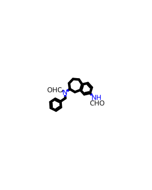 O=CNc1ccc2c(c1)CC(N(C=O)Cc1ccccc1)CCC2